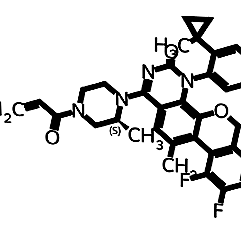 C=CC(=O)N1CCN(c2nc(=O)n(-c3ccccc3C3(C)CC3)c3c4c(c(C)cc23)-c2c(ccc(F)c2F)CO4)[C@@H](C)C1